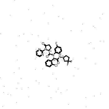 O=C(N[C@H]1CCC(F)(F)C1)[C@H](c1ccccc1Cl)N(C(=O)[C@@H]1CCC(=O)N1c1ncccn1)c1cccc(F)c1